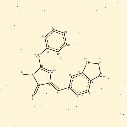 CN1C(=O)C(=Cc2ccc3c(c2)OCO3)N=C1Sc1ccccc1